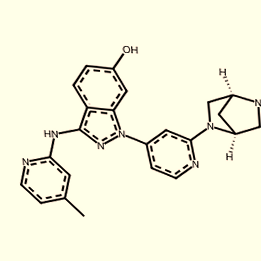 Cc1ccnc(Nc2nn(-c3ccnc(N4C[C@@H]5C[C@H]4CN5)c3)c3cc(O)ccc23)c1